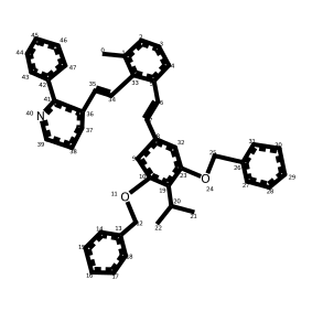 Cc1cccc(C=Cc2cc(OCc3ccccc3)c(C(C)C)c(OCc3ccccc3)c2)c1/C=C/c1cccnc1-c1ccccc1